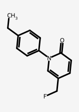 CCc1ccc(-n2cc(CF)ccc2=O)cc1